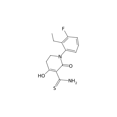 CCc1c(F)cccc1N1CCC(O)=C(C(N)=S)C1=O